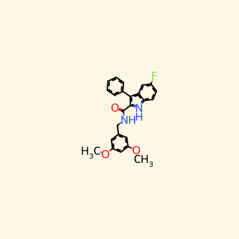 COc1cc(CNC(=O)c2[nH]c3ccc(F)cc3c2-c2ccccc2)cc(OC)c1